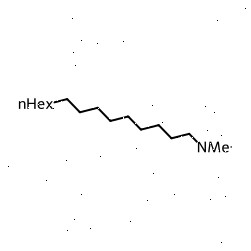 CCCCCCCCCCCCCCC[N]C